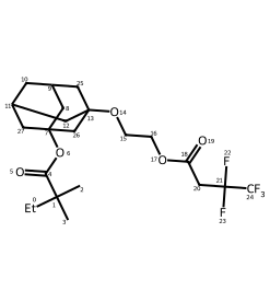 CCC(C)(C)C(=O)OC12CC3CC(CC(OCCOC(=O)CC(F)(F)C(F)(F)F)(C3)C1)C2